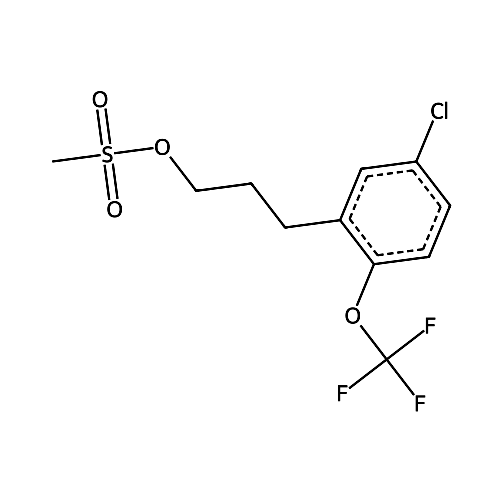 CS(=O)(=O)OCCCc1cc(Cl)ccc1OC(F)(F)F